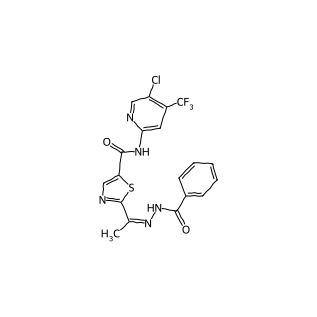 CC(=NNC(=O)c1ccccc1)c1ncc(C(=O)Nc2cc(C(F)(F)F)c(Cl)cn2)s1